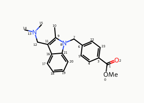 COC(=O)c1ccc(Cn2c(C)c(CN(C)C)c3ccccc32)cc1